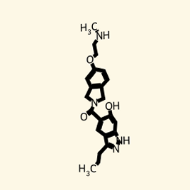 CCCc1n[nH]c2cc(O)c(C(=O)N3Cc4ccc(OCCNC)cc4C3)cc12